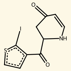 O=C1C=CNC(C(=O)c2ccsc2I)C1